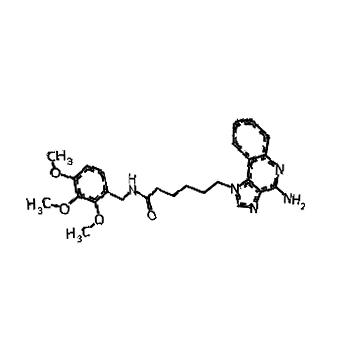 COc1ccc(CNC(=O)CCCCCn2cnc3c(N)nc4ccccc4c32)c(OC)c1OC